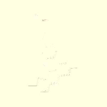 CNC(=O)OCCc1cccc(Nc2c3cc(C)c(C)cc3nc3cc(C)c(OC)cc23)c1